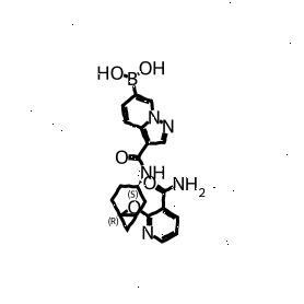 NC(=O)c1cccnc1O[C@@]12CC[C@H](NC(=O)c3cnn4cc(B(O)O)ccc34)CC1C2